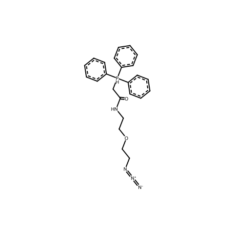 [N-]=[N+]=NCCOCCNC(=O)C[PH](c1ccccc1)(c1ccccc1)c1ccccc1